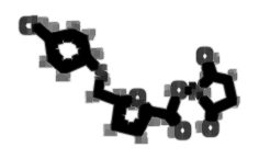 O=C(ON1C(=O)CCC1=O)c1ccc(CSc2ccc(Cl)cc2)o1